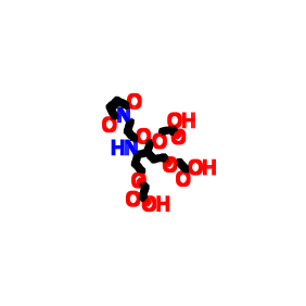 O=C(O)COCCC(COCC(=O)O)C(CCOCC(=O)O)NC(=O)CCN1C(=O)C=CC1=O